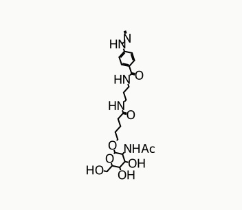 C=NNc1ccc(C(=O)NCCCNC(=O)CCCCOC2OC(CO)C(O)C(O)C2NC(C)=O)cc1